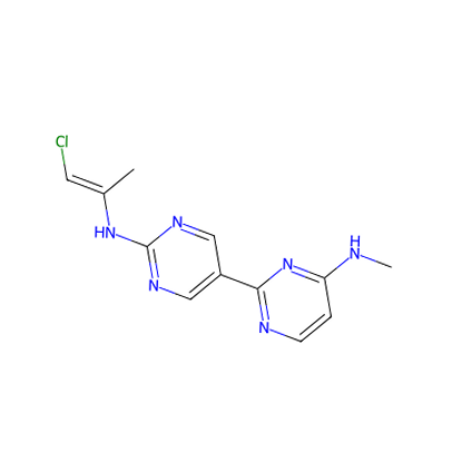 CNc1ccnc(-c2cnc(N/C(C)=C/Cl)nc2)n1